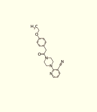 CCOc1ccc(CC(=O)N2CCN(c3ncccc3C#N)CC2)cc1